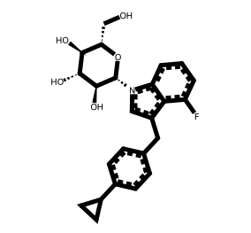 OC[C@@H]1O[C@H](n2cc(Cc3ccc(C4CC4)cc3)c3c(F)cccc32)[C@@H](O)[C@H](O)[C@H]1O